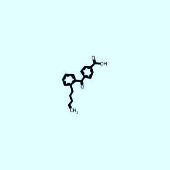 C=CCCCc1ccccc1C(=O)c1ccc(C(=O)O)cc1